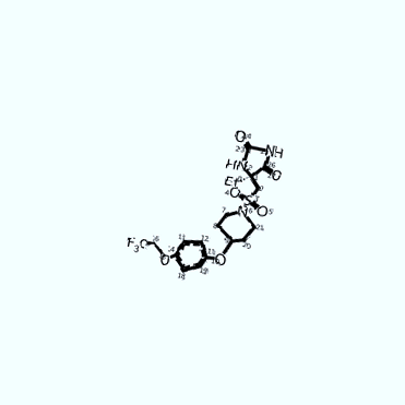 CC[C@]1(CS(=O)(=O)N2CCC(Oc3ccc(OCC(F)(F)F)cc3)CC2)NC(=O)NC1=O